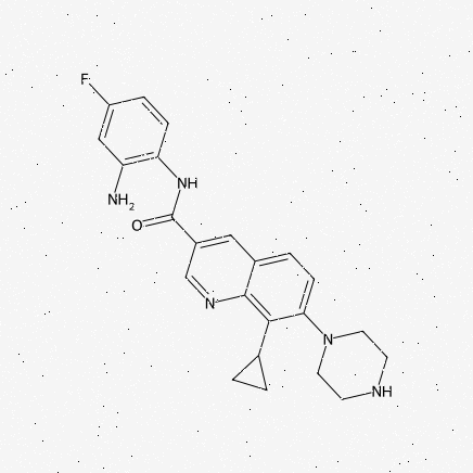 Nc1cc(F)ccc1NC(=O)c1cnc2c(C3CC3)c(N3CCNCC3)ccc2c1